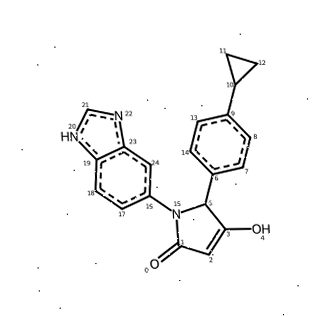 O=C1[C]=C(O)C(c2ccc(C3CC3)cc2)N1c1ccc2[nH]cnc2c1